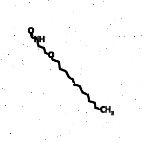 CCCCCCCCCCCCCCOCCCNC=O